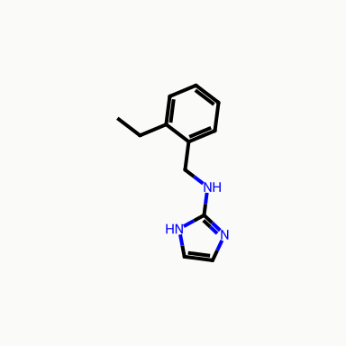 CCc1ccccc1CNc1ncc[nH]1